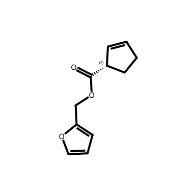 O=C(OCc1ccco1)[C@@H]1C=CCC1